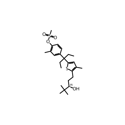 CCC(CC)(c1ccc(OS(C)(=O)=O)c(C)c1)c1cc(C)c(CC[C@@H](O)C(C)(C)C)s1